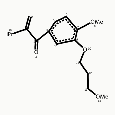 C=C(C(=O)c1ccc(OC)c(OCCCOC)c1)C(C)C